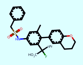 CCCC(F)(C(=O)O)c1cc(NS(=O)(=O)Cc2ccccc2)cc(C)c1-c1ccc2c(c1)CCCO2